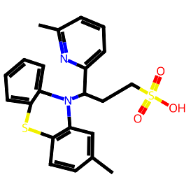 Cc1ccc2c(c1)N(C(CCS(=O)(=O)O)c1cccc(C)n1)c1ccccc1S2